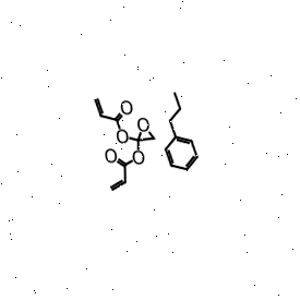 C=CC(=O)OC1(OC(=O)C=C)CO1.CCCc1ccccc1